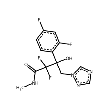 CNC(=O)C(F)(F)C(O)(Cn1cncn1)c1ccc(F)cc1F